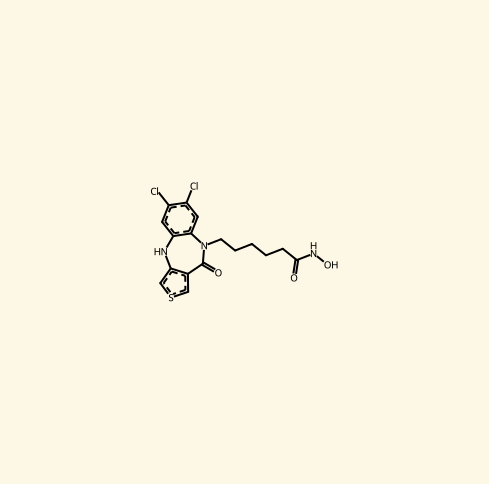 O=C(CCCCCN1C(=O)c2cscc2Nc2cc(Cl)c(Cl)cc21)NO